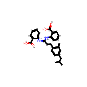 Cc1cc(CC(C)C)ccc1CCC(Nc1ccccc1C(=O)O)Nc1ccccc1C(=O)O